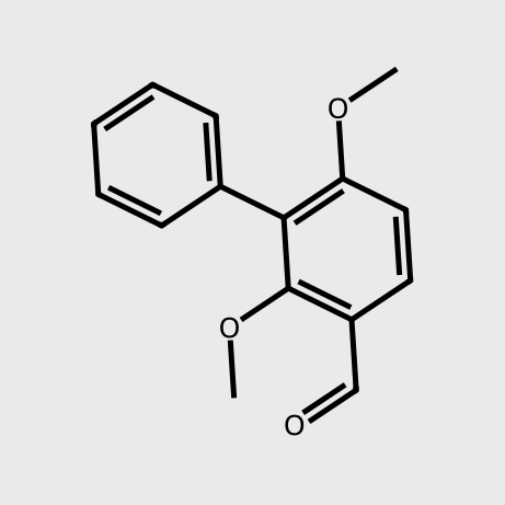 COc1ccc(C=O)c(OC)c1-c1ccccc1